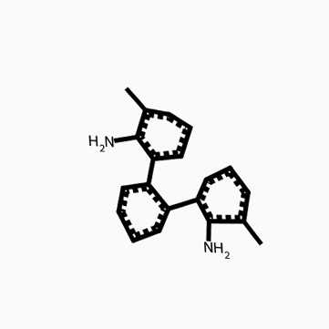 Cc1cccc(-c2ccccc2-c2cccc(C)c2N)c1N